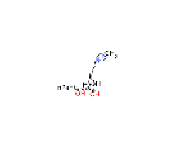 CCCCC[C@H](O)C=C[C@@H]1[C@H]2CC(=CCCCCN3CCN(C)CC3)C[C@H]2C[C@H]1O